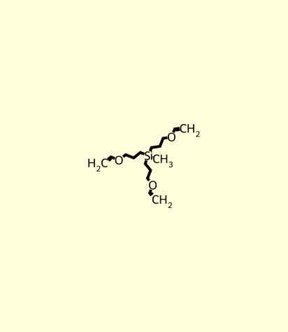 C=COCCC[Si](C)(CCCOC=C)CCCOC=C